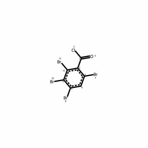 O=C(Cl)c1c(Br)cc(Br)c(Br)c1Br